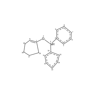 C1=C(O[SiH](c2ccccc2)c2ccccc2)CCCC1